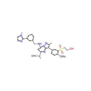 COc1ccc(-c2c(C)nn3c(NCc4cccc(-c5nccn5C)c4)cc(C(C)C=O)nc23)cc1S(=O)(=O)CCO